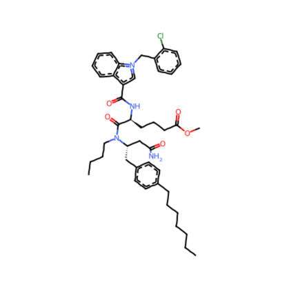 CCCCCCCc1ccc(C[C@@H](CC(N)=O)N(CCCC)C(=O)[C@H](CCCC(=O)OC)NC(=O)c2cn(Cc3ccccc3Cl)c3ccccc23)cc1